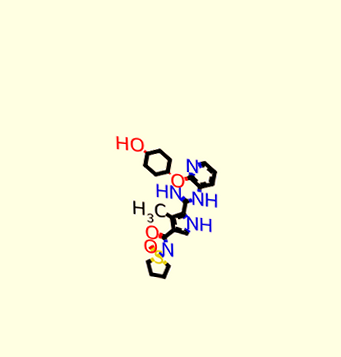 Cc1c(C(=O)N=S2(=O)CCCC2)c[nH]c1C(=N)Nc1cccnc1O[C@H]1CC[C@H](O)CC1